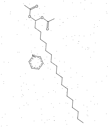 CCCCCCCCCCCCCCCCCCC(OC(C)=O)OC(C)=O.c1ccncc1